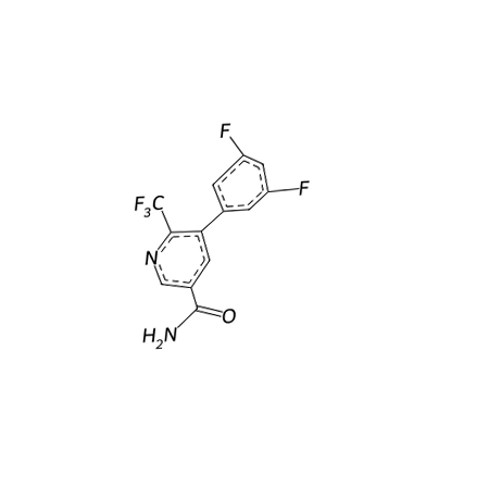 NC(=O)c1cnc(C(F)(F)F)c(-c2cc(F)cc(F)c2)c1